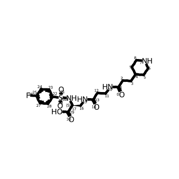 O=C(CCC1CCNCC1)NCCC(=O)NC[C@H](NS(=O)(=O)c1ccc(F)cc1)C(=O)O